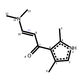 Cc1c[nH]c(C)c1C(=O)/C=C/N(C)C